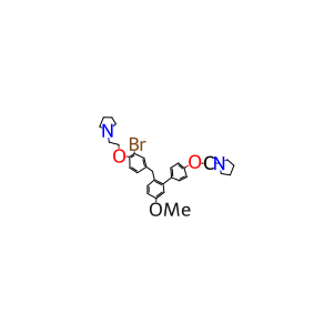 COc1ccc(Cc2ccc(OCCN3CCCC3)c(Br)c2)c(-c2ccc(OCCN3CCCC3)cc2)c1